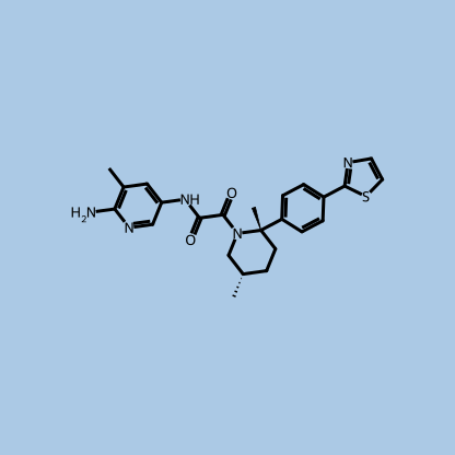 Cc1cc(NC(=O)C(=O)N2C[C@@H](C)CC[C@@]2(C)c2ccc(-c3nccs3)cc2)cnc1N